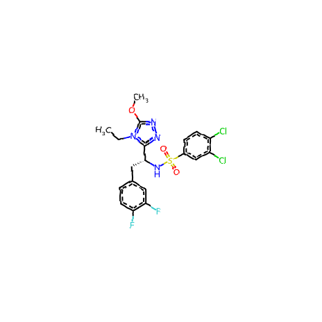 CCn1c(OC)nnc1[C@@H](Cc1ccc(F)c(F)c1)NS(=O)(=O)c1ccc(Cl)c(Cl)c1